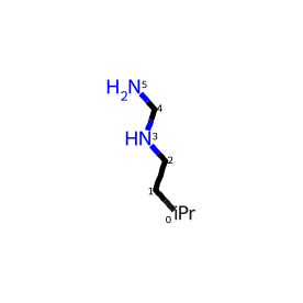 CC(C)CCNCN